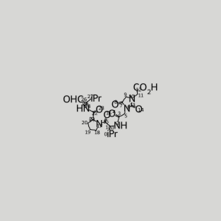 CC(C)[C@H](NC(=O)CN1C(=O)CN(CC(=O)O)C1=O)C(=O)N1CCC[C@H]1C(=O)N[C@H](C=O)C(C)C